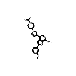 CSc1cccc(-c2cc3c(-c4cnn(C5CCN(C(C)=O)CC5)c4)cnc(N)c3o2)c1